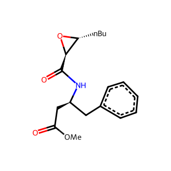 CCCC[C@H]1O[C@@H]1C(=O)N[C@H](CC(=O)OC)Cc1ccccc1